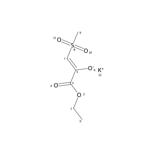 CCOC(=O)C([O-])=CS(C)(=O)=O.[K+]